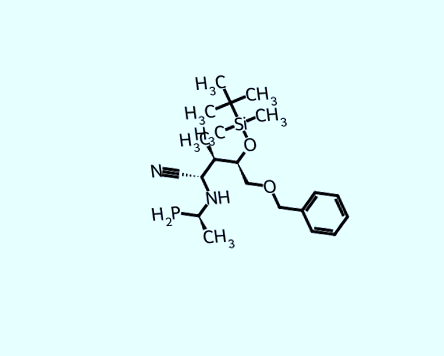 C[C@@H]([C@H](COCc1ccccc1)O[Si](C)(C)C(C)(C)C)[C@@H](C#N)N[C@@H](C)P